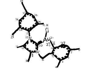 Cc1cc(C)c(Cn2c(C)c(C)n(-c3c(C)cc(C)cc3C)[c]2=[Au-2][Cl])c(C)c1